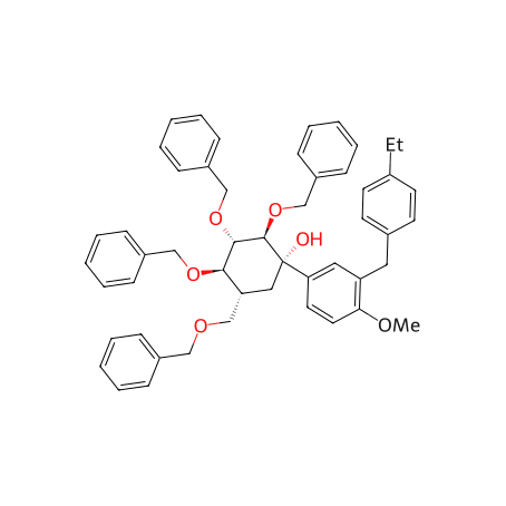 CCc1ccc(Cc2cc([C@@]3(O)C[C@H](COCc4ccccc4)[C@@H](OCc4ccccc4)[C@H](OCc4ccccc4)[C@H]3OCc3ccccc3)ccc2OC)cc1